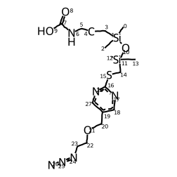 C[Si](C)(CCCNC(=O)O)O[Si](C)(C)CSc1ncc(COCCN=[N+]=[N-])cn1